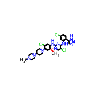 COc1cc(N2CCC(N3CCN(C)CC3)CC2)c(Cl)cc1Nc1ncc(Cl)c(Nc2cc(Cl)ccc2-c2cnn[nH]2)n1